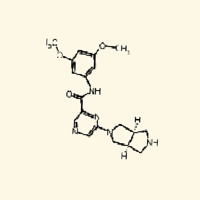 COc1cc(NC(=O)c2cncc(N3C[C@H]4CNC[C@H]4C3)n2)cc(OC)c1